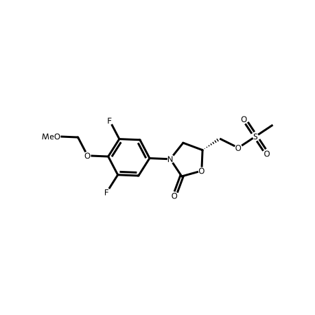 COCOc1c(F)cc(N2C[C@H](COS(C)(=O)=O)OC2=O)cc1F